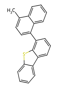 Cc1ccc(-c2cccc3c2sc2ccccc23)c2ccccc12